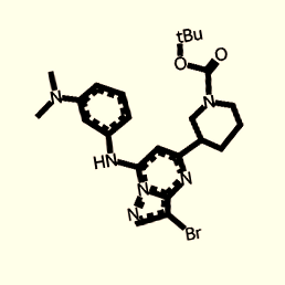 CN(C)c1cccc(Nc2cc(C3CCCN(C(=O)OC(C)(C)C)C3)nc3c(Br)cnn23)c1